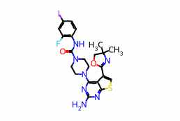 CC1(C)COC(c2csc3nc(N)nc(N4CCN(C(=O)Nc5ccc(I)cc5F)CC4)c23)=N1